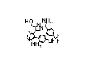 NCC(c1ccc(C(F)(F)F)cc1)n1cc(-c2ncnc(N)c2-c2ccc(Cl)cc2)c(CO)n1